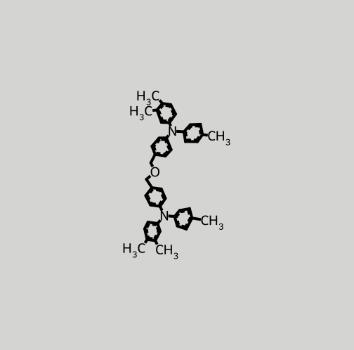 Cc1ccc(N(c2ccc(COCc3ccc(N(c4ccc(C)cc4)c4ccc(C)c(C)c4)cc3)cc2)c2ccc(C)c(C)c2)cc1